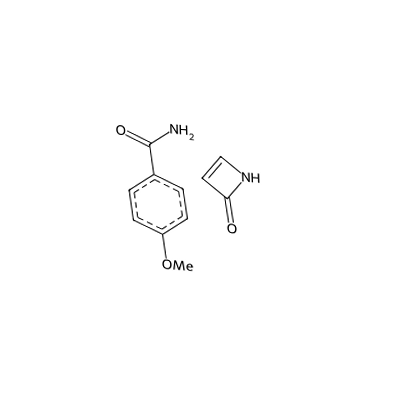 COc1ccc(C(N)=O)cc1.O=C1C=CN1